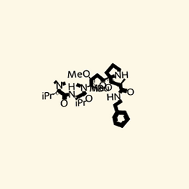 CC[C@H](C)[C@@H]([C@@H](CC(=O)[C@@]1([C@H](OC)[C@@H](C)C(=O)NCCc2ccccc2)CCCN1)OC)N(C)C(=O)[C@@H](NC(=O)[C@H](C(C)C)N(C)C)C(C)C